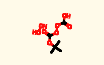 CC(C)(C)OC(=O)OOC(=O)O.OO